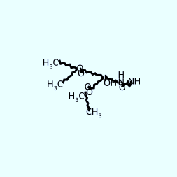 CCCCCCCCC(CCCCCCCC)OC(=O)CCCCCCCN(CCCCCC(=O)OCC(C)CCCCCC)CC(O)CCCCNC(=O)c1cc[nH]c1